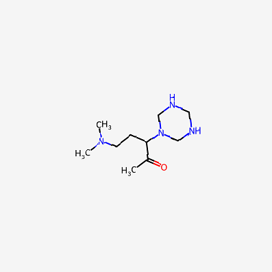 CC(=O)C(CCN(C)C)N1CNCNC1